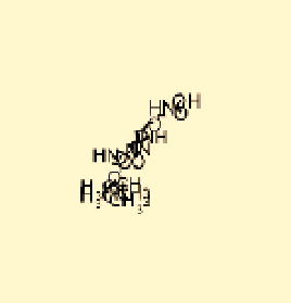 CC(C)(C)[Si](C)(C)OC[C@@H]1CNC[C@@H](n2cc3cc(COCCNC(=O)O)[nH]c3nc2=O)O1